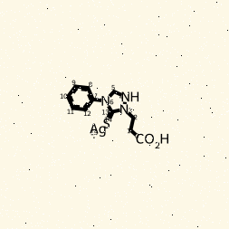 O=C(O)CCN1NCN(c2ccccc2)C1=S.[Ag]